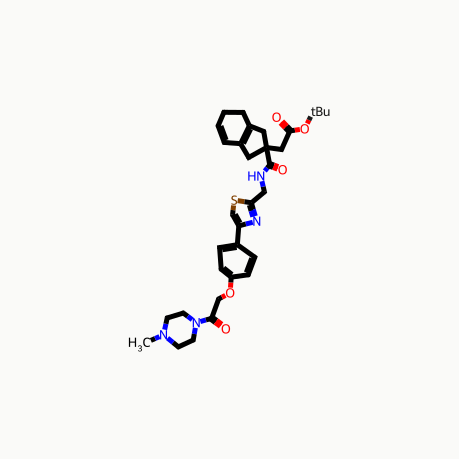 CN1CCN(C(=O)COc2ccc(-c3csc(CNC(=O)C4(CC(=O)OC(C)(C)C)CC5=C(CCC=C5)C4)n3)cc2)CC1